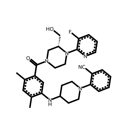 Cc1cc(C)c(C(=O)N2CCN(c3ncccc3F)[C@@H](CO)C2)cc1NC1CCN(c2ccccc2C#N)CC1